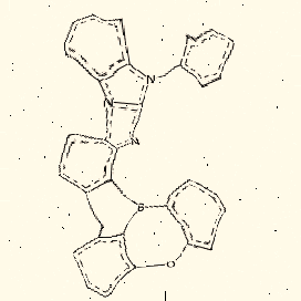 c1ccc(-n2c3ccccc3n3c4ccc5c(c4nc23)B2c3ccccc3Oc3cccc-5c32)cc1